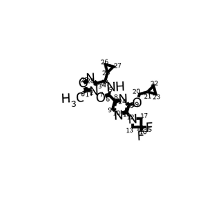 Cc1nc([C@H](NC(=O)c2cnc(N3CC(F)(F)C3)c(OCC3CC3)n2)C2CC2)no1